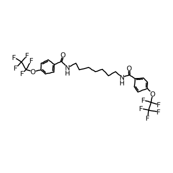 O=C(NCCCCCCCNC(=O)c1ccc(OC(F)(F)C(F)(F)F)cc1)c1ccc(OC(F)(F)C(F)(F)F)cc1